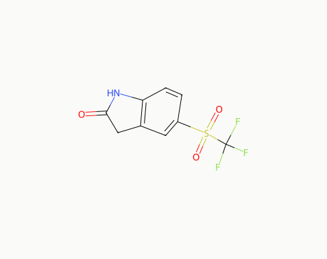 O=C1Cc2cc(S(=O)(=O)C(F)(F)F)ccc2N1